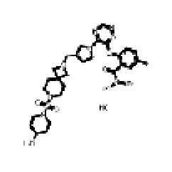 CC(C)N(C(=O)c1cc(F)ccc1Oc1nncnc1N1CC[C@@H](CN2CC3(CCN(S(=O)(=O)N4CCC(N)CC4)CC3)C2)C1)C(C)C.Cl